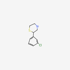 Clc1cccc(C2C[N]CCS2)c1